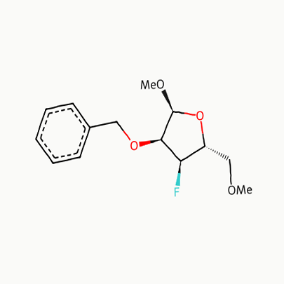 COC[C@H]1O[C@H](OC)[C@H](OCc2ccccc2)[C@@H]1F